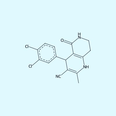 CC1=C(C#N)C(c2ccc(Cl)c(Cl)c2)C2=C(CCNC2=O)N1